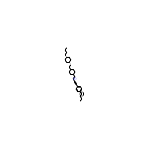 CCCC[C@H]1CC[C@H](CCC2CCC(/C=C/C#Cc3ccc(OCCC)cc3)CC2)CC1